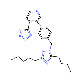 CCCCCc1nc(CCCC)n(Cc2ccc(-c3cnccc3-c3nnn[nH]3)cc2)n1